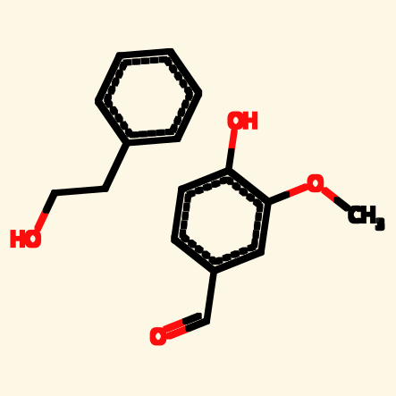 COc1cc(C=O)ccc1O.OCCc1ccccc1